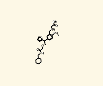 Nc1ccc(C(=NOCC(=O)NCC2CCCCC2)c2cccs2)cc1CNCC(=O)O